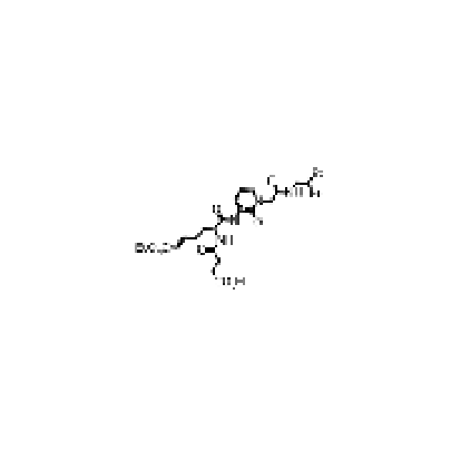 CCOC(=O)/C=C/CC[C@H](NC(=O)CCC(=O)O)C(=O)Nc1cccn(CC(=O)NCC(CC)CC)c1=O